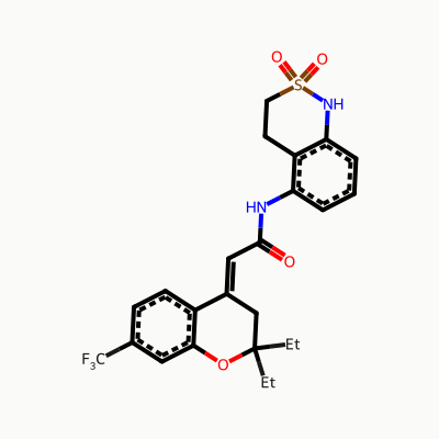 CCC1(CC)CC(=CC(=O)Nc2cccc3c2CCS(=O)(=O)N3)c2ccc(C(F)(F)F)cc2O1